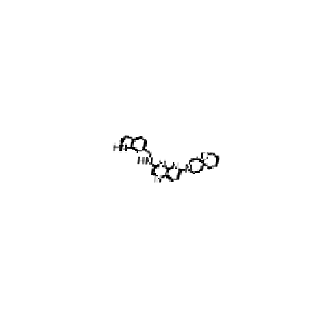 c1cc2ccc(CNc3cnc4ccc(N5CCC6(CCCCO6)CC5)nc4n3)cc2[nH]1